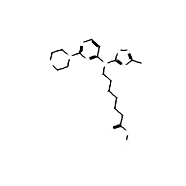 Cc1nsc(N(CCCCCCC(=O)NO)c2ccnc(N3CCOCC3)n2)n1